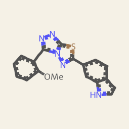 COc1ccccc1-c1nnc2sc(-c3ccc4cc[nH]c4c3)nn12